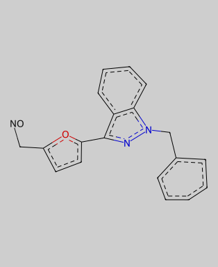 O=NCc1ccc(-c2nn(Cc3ccccc3)c3ccccc23)o1